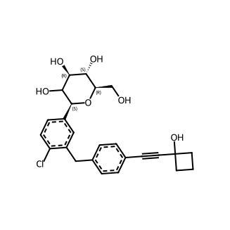 OC[C@H]1O[C@@H](c2ccc(Cl)c(Cc3ccc(C#CC4(O)CCC4)cc3)c2)C(O)[C@@H](O)[C@@H]1O